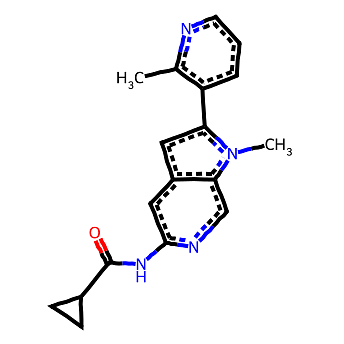 Cc1ncccc1-c1cc2cc(NC(=O)C3CC3)ncc2n1C